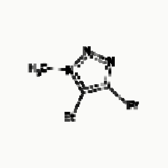 CCc1c(C(C)C)nnn1C